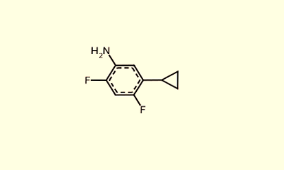 Nc1cc(C2CC2)c(F)cc1F